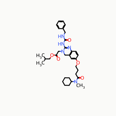 CC(C)COC(=O)CN1Cc2cc(OCCCC(=O)N(C)C3CCCCC3)ccc2N=C1NC(=O)NCc1ccccc1